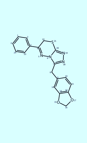 c1ccc(C2=Nn3c(Cc4ccc5c(c4)OCO5)nnc3SC2)cc1